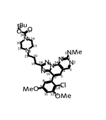 CNc1ncc2cc(-c3cc(OC)cc(OC)c3Cl)c3nc(CCCN4CCN(C(=O)OC(C)(C)C)CC4)nn3c2n1